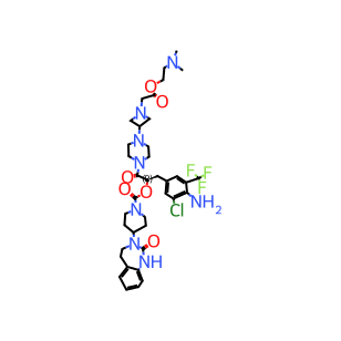 CN(C)CCOC(=O)CN1CC(N2CCN(C(=O)[C@@H](Cc3cc(Cl)c(N)c(C(F)(F)F)c3)OC(=O)N3CCC(N4CCc5ccccc5NC4=O)CC3)CC2)C1